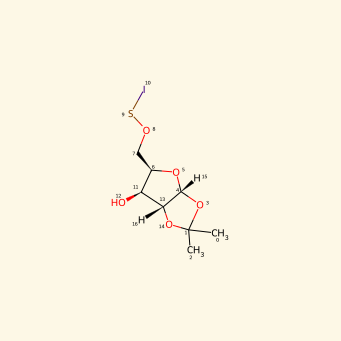 CC1(C)O[C@H]2O[C@H](COSI)[C@H](O)[C@H]2O1